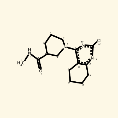 CNC(=O)C1CCCN(c2nc(Cl)nc3c2CCCC3)C1